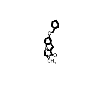 Cn1ccn2c(cc3cc(OCc4ccccc4)ccc32)c1=O